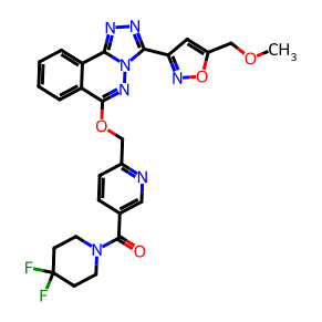 COCc1cc(-c2nnc3c4ccccc4c(OCc4ccc(C(=O)N5CCC(F)(F)CC5)cn4)nn23)no1